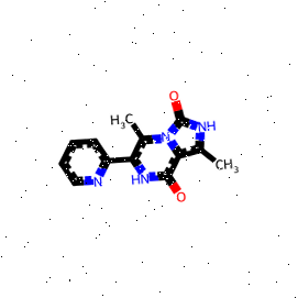 Cc1[nH]c(=O)n2c(C)c(-c3ccccn3)[nH]c(=O)c12